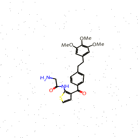 COc1cc(CCc2ccc(C(=O)c3ccsc3NC(=O)CN)cc2)cc(OC)c1OC